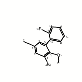 COc1c(Br)cc(C)cc1-c1ccccc1F